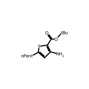 CCCCCc1cc(N)c(C(=O)OC(C)(C)C)s1